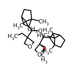 CCC1(C(OC(C2CC3CCC2(C)C3(C)C)C2(CC)COC2)C2CC3CCC2(C)C3(C)C)COC1